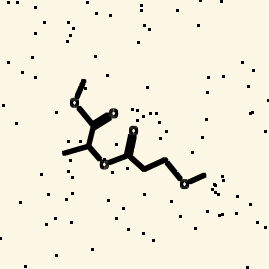 COCCC(=O)OC(C)C(=O)OC